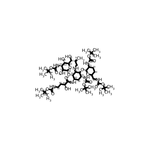 C=CCNC1C(O[C@H]2OC(CNC(=O)OC(C)(C)C)CCC2NC(=O)OC(C)(C)C)[C@H](NC(=O)OC(C)(C)C)C[C@@H](NC(=O)[C@@H](O)CCNC(=O)OC(C)(C)C)[C@@H]1O[C@H]1OC(CO)[C@@H](O)[C@H](NC(=O)OC(C)(C)C)C1O